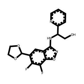 OCC(Nc1noc2c(F)c(F)c(C3OCCO3)cc12)c1ccccn1